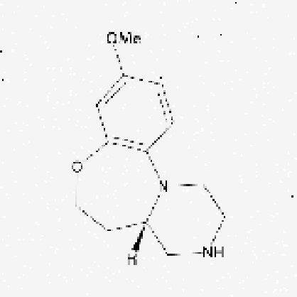 COc1ccc2c(c1)OCC[C@H]1CNCCN21